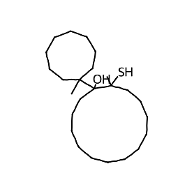 CC1(S)CCCCCCCCCCCCC1(O)C1(C)CCCCCCCC1